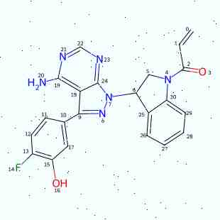 C=CC(=O)N1CC(n2nc(-c3ccc(F)c(O)c3)c3c(N)ncnc32)c2ccccc21